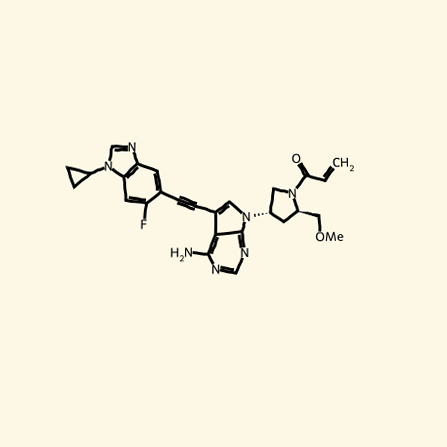 C=CC(=O)N1C[C@@H](n2cc(C#Cc3cc4ncn(C5CC5)c4cc3F)c3c(N)ncnc32)C[C@@H]1COC